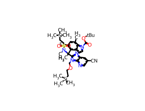 CCc1cc(C)c2c(ccn2C(=O)OC(C)(C)C)c1C(C)(c1nc2cc(C#N)cnc2n1COCC[Si](C)(C)C)N(C)S(=O)(=O)CC[Si](C)(C)C